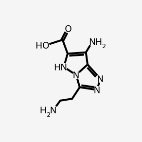 NCCc1nnc2c(N)c(C(=O)O)[nH]n12